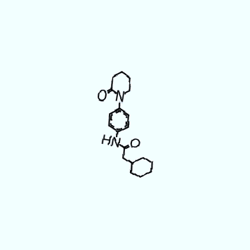 O=C(CC1CCCCC1)Nc1ccc(N2CCCCC2=O)cc1